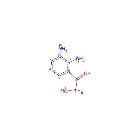 CC(O)C(=O)c1cccc(N)c1N